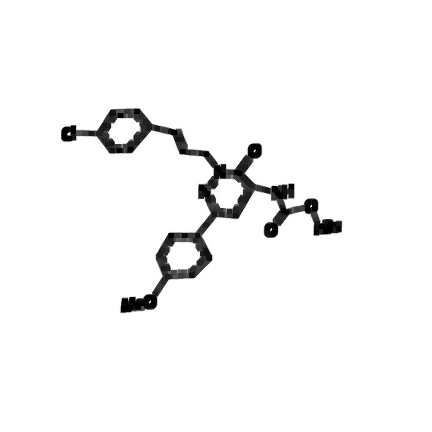 CCCCOC(=O)Nc1cc(-c2ccc(OC)cc2)nn(C/C=C/c2ccc(Cl)cc2)c1=O